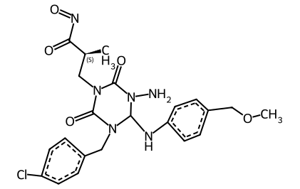 COCc1ccc(NC2N(N)C(=O)N(C[C@H](C)C(=O)N=O)C(=O)N2Cc2ccc(Cl)cc2)cc1